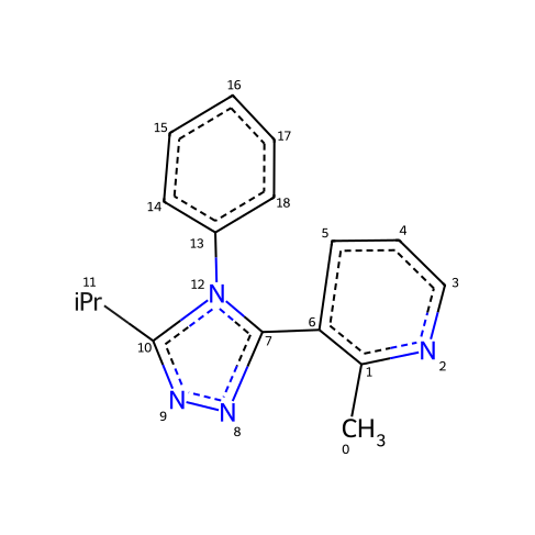 Cc1ncccc1-c1nnc(C(C)C)n1-c1ccccc1